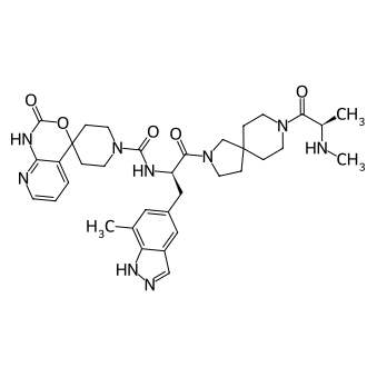 CN[C@H](C)C(=O)N1CCC2(CC1)CCN(C(=O)[C@@H](Cc1cc(C)c3[nH]ncc3c1)NC(=O)N1CCC3(CC1)OC(=O)Nc1ncccc13)C2